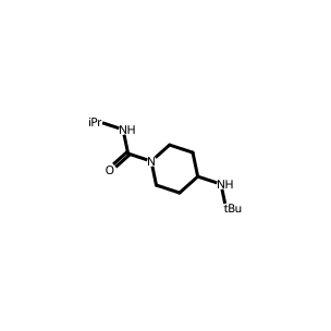 CC(C)NC(=O)N1CCC(NC(C)(C)C)CC1